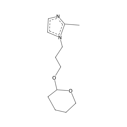 Cc1nccn1CCCOC1CCCCO1